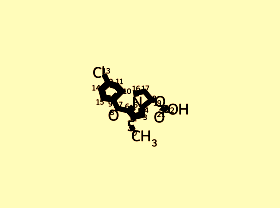 CSc1cc2n(c1C(=O)c1ccc(Cl)cc1)CCC2OC(=O)O